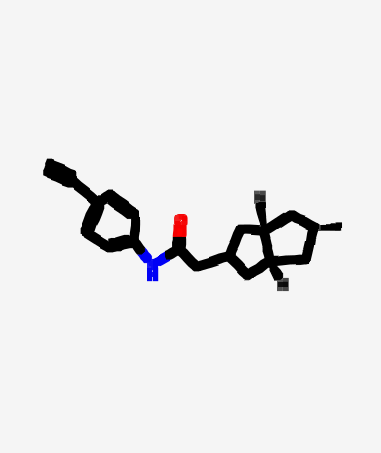 C#Cc1ccc(NC(=O)CC2C[C@@H]3C[C@H](C)C[C@@H]3C2)cc1